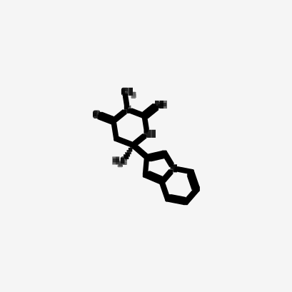 CN1C(=N)N[C@@](C)(c2cc3ccccn3c2)CC1=O